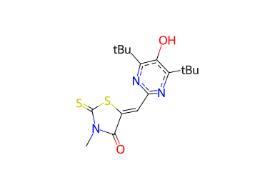 CN1C(=O)C(=Cc2nc(C(C)(C)C)c(O)c(C(C)(C)C)n2)SC1=S